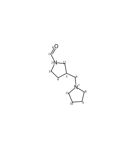 O=CN1CCC(CN2CCCC2)C1